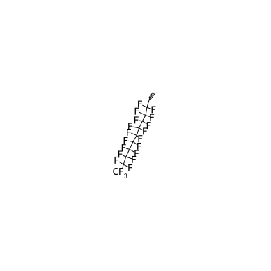 [C]#CC(F)(F)C(F)(F)C(F)(F)C(F)(F)C(F)(F)C(F)(F)C(F)(F)C(F)(F)C(F)(F)C(F)(F)F